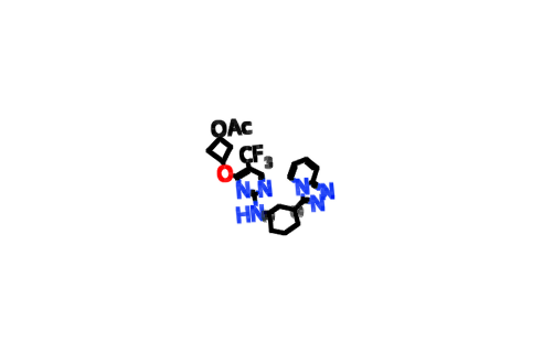 CC(=O)OC1CC(Oc2nc(N[C@@H]3CCC[C@H](c4nnc5ccccn45)C3)ncc2C(F)(F)F)C1